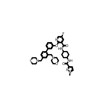 Cn1ccc(C(=O)NC2CCC(NC(=O)c3cc(F)cnc3Oc3cccc(-c4ccc(CN5CCSCC5)cc4CN4CCOCC4)c3)CC2)n1